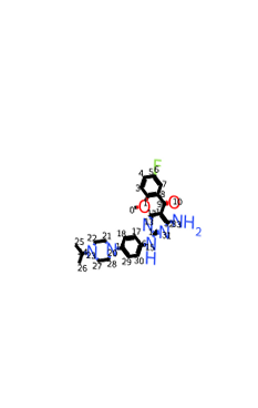 COc1ccc(F)cc1C(=O)c1cnc(Nc2ccc(N3CCN(C(C)C)CC3)cc2)nc1N